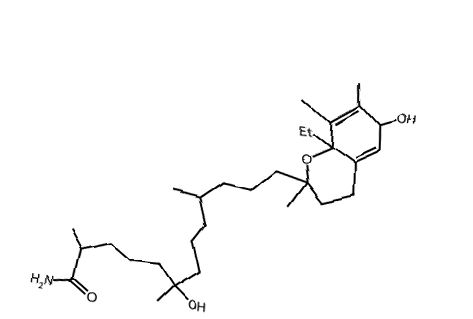 CCC12OC(C)(CCCC(C)CCCC(C)(O)CCCC(C)C(N)=O)CCC1=CC(O)C(C)=C2C